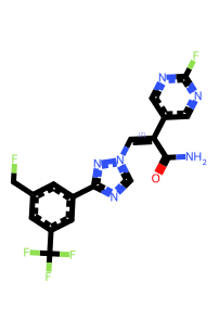 NC(=O)/C(=C\n1cnc(-c2cc(CF)cc(C(F)(F)F)c2)n1)c1cnc(F)nc1